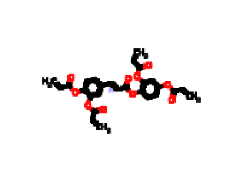 C=CC(=O)Oc1ccc(OC(=O)/C=C/c2ccc(OC(=O)C=C)c(OC(=O)C=C)c2)c(OC(=O)C=C)c1